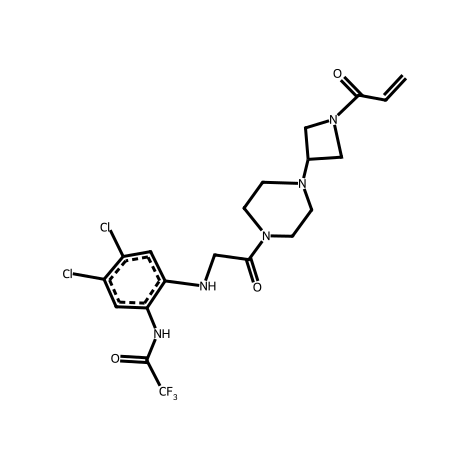 C=CC(=O)N1CC(N2CCN(C(=O)CNc3cc(Cl)c(Cl)cc3NC(=O)C(F)(F)F)CC2)C1